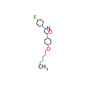 CCCCCCOc1ccc(-c2cc(-c3ccc(F)cc3)no2)cc1